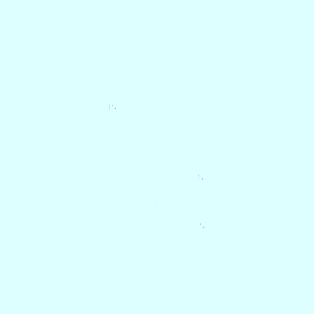 O=C(Nc1ccc(C(=O)N2C[C@@H]3C[C@@H](O)CN3c3ccccc32)cc1)c1ccccc1-c1ccccc1